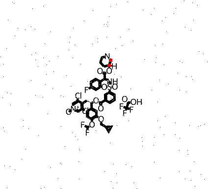 O=C(O)C(F)(F)F.O=C(O[C@@H](Cc1c(Cl)c[n+]([O-])cc1Cl)c1ccc(OC(F)F)c(OCC2CC2)c1)c1cccc(S(=O)(=O)NC(C(=O)O[C@H]2CN3CCC2CC3)c2ccc(F)cc2)c1